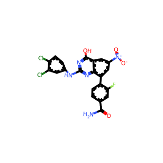 NC(=O)c1ccc(-c2cc([N+](=O)[O-])cc3c(O)nc(Nc4ccc(Cl)c(Cl)c4)nc23)c(F)c1